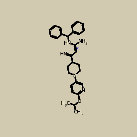 CC(C)Oc1ccc(N2CCC(C(=N)/C=C(/N)NC(c3ccccc3)c3ccccc3)CC2)cn1